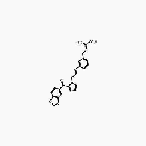 C[C@H](OCc1cccc(/C=C/Cn2cccc2C(=O)c2ccc3c(c2)OCO3)c1)C(=O)O